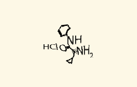 Cl.N[C@@H](C(=O)Nc1ccccc1)C1CC1